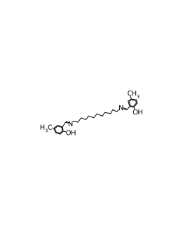 Cc1ccc(O)c(C=NCCCCCCCCCCCCN=Cc2cc(C)ccc2O)c1